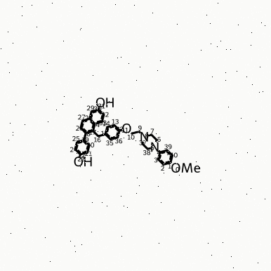 COc1ccc(N2CCN(CCOc3ccc(Cc4c(-c5ccc(O)cc5)ccc5cc(O)ccc45)cc3)CC2)cc1